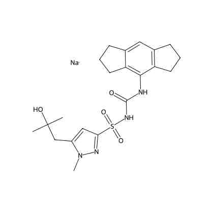 Cn1nc(S(=O)(=O)NC(=O)Nc2c3c(cc4c2CCC4)CCC3)cc1CC(C)(C)O.[Na]